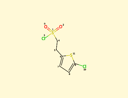 O=S(=O)(Cl)CCc1ccc(Cl)s1